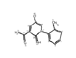 Cc1ccccc1-n1cc(Cl)cc(C(N)=O)c1=N